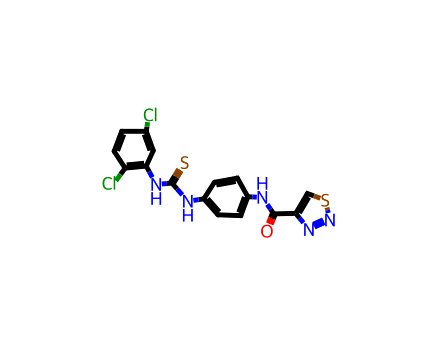 O=C(Nc1ccc(NC(=S)Nc2cc(Cl)ccc2Cl)cc1)c1csnn1